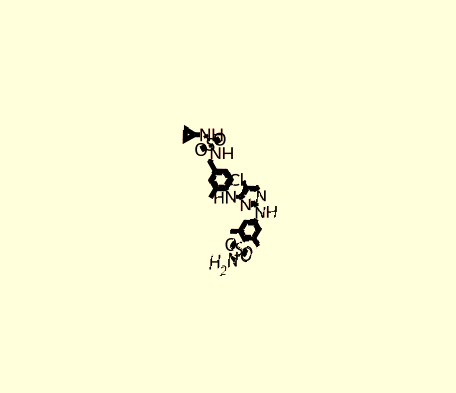 Cc1cc(CNS(=O)(=O)NC2CC2)ccc1Nc1nc(Nc2cc(C)c(S(N)(=O)=O)c(C)c2)ncc1Cl